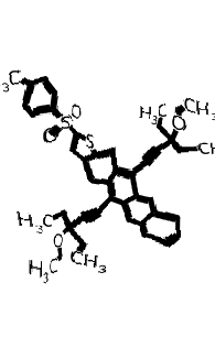 CCOC(C#Cc1c2cc3ccccc3cc2c(C#CC(CC)(CC)OCC)c2cc3sc(S(=O)(=O)c4ccc(C)cc4)cc3cc12)(CC)CC